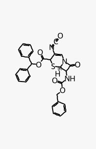 O=C=NC1=CN2C(=O)C(NC(=O)OCc3ccccc3)[C@H]2SC1C(=O)OC(c1ccccc1)c1ccccc1